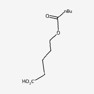 CCCCC(=O)OCCCCC(=O)O